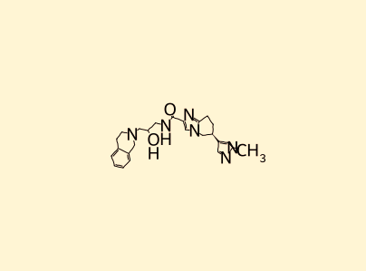 Cn1cc([C@@H]2CCc3nc(C(=O)NCC(O)CN4CCc5ccccc5C4)cn3C2)cn1